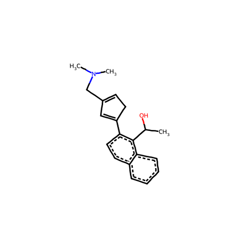 CC(O)c1c(C2=CC(CN(C)C)=CC2)ccc2ccccc12